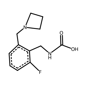 O=C(O)NCc1c(F)cccc1CN1CCC1